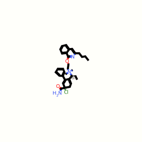 CCCCc1cc2ccccc2c(OCC[N+](C)(C)[C@@H](CC)C2=CC[C@](Cl)(C(N)=O)C=C2c2ccccc2)n1